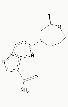 C[C@@H]1CN(c2ccn3ncc(C(N)=O)c3n2)CCCO1